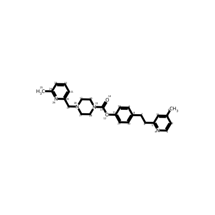 Cc1ccnc(CCc2ccc(OC(=O)N3CCN(Cc4cccc(C)n4)CC3)cc2)c1